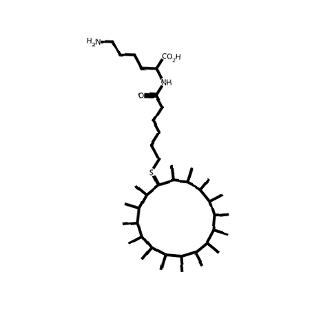 CC1C(C)C(C)C(C)C(C)C(C)C(C)C(C)C(SCCCCCC(=O)NC(CCCCN)C(=O)O)C(C)C(C)C(C)C(C)C(C)C(C)C1C